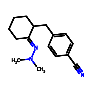 CN(C)N=C1CCCCC1Cc1ccc(C#N)cc1